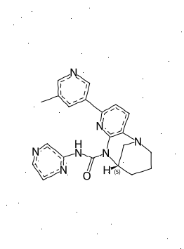 Cc1cncc(-c2ccc3c(n2)N(C(=O)Nc2cnccn2)[C@H]2CCCN3C2)c1